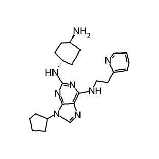 N[C@H]1CC[C@H](Nc2nc(NCCc3ccccn3)c3ncn(C4CCCC4)c3n2)CC1